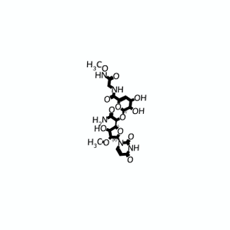 CONC(=O)CNC(=O)C1=CC(O)C(O)[C@@H](OC(C(N)=O)[C@H]2O[C@@H](n3ccc(=O)[nH]c3=O)C(OC)C2O)O1